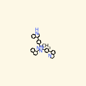 CN1C(c2ccc(-c3cccc4c3N=CCC4)cc2)=NC(C2CC=Cc3ccccc32)=NC1c1ccc(C2=CCNc3ccccc32)cc1